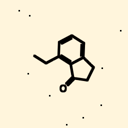 CCc1cccc2c1C(=O)CC2